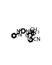 Cn1ncc(-c2ncccc2C#N)c1C(=O)NC1CCn2nc(-c3ccccc3)nc2C1